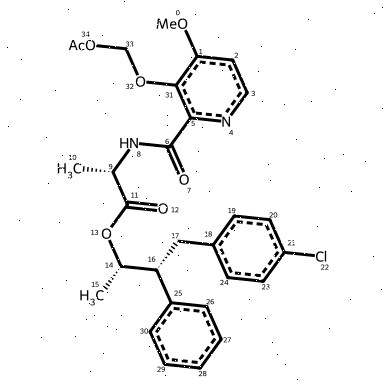 COc1ccnc(C(=O)N[C@@H](C)C(=O)O[C@@H](C)[C@H](Cc2ccc(Cl)cc2)c2ccccc2)c1OCOC(C)=O